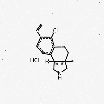 C=Cc1ccc2c(c1Cl)CC[C@]1(C)CNC[C@H]21.Cl